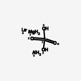 O=S(=O)(O)O.[AlH3].[La].[MgH2]